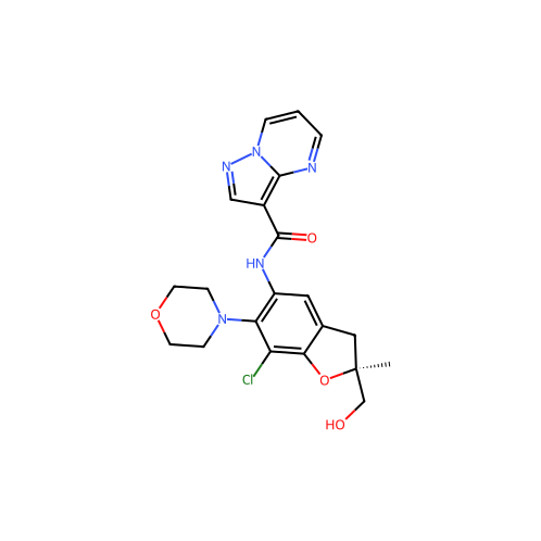 C[C@@]1(CO)Cc2cc(NC(=O)c3cnn4cccnc34)c(N3CCOCC3)c(Cl)c2O1